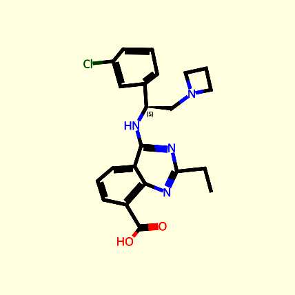 CCc1nc(N[C@H](CN2CCC2)c2cccc(Cl)c2)c2cccc(C(=O)O)c2n1